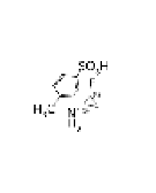 Cc1ccc(S(=O)(=O)O)cc1.N[C@H]1C[C@H]1F